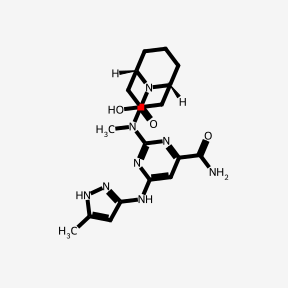 Cc1cc(Nc2cc(C(N)=O)nc(N(C)C3C[C@H]4CCC[C@@H](C3)N4C(=O)O)n2)n[nH]1